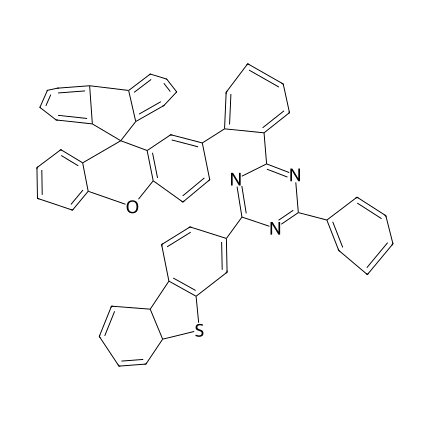 C1=CC2Sc3cc(-c4nc(-c5ccccc5)nc(-c5ccccc5-c5ccc6c(c5)C5(c7ccccc7O6)c6ccccc6-c6ccccc65)n4)ccc3C2C=C1